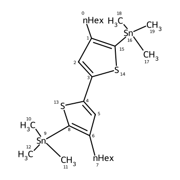 CCCCCCc1cc(-c2cc(CCCCCC)[c]([Sn]([CH3])([CH3])[CH3])s2)s[c]1[Sn]([CH3])([CH3])[CH3]